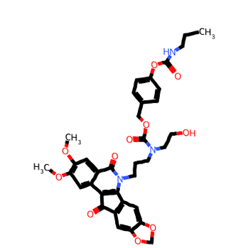 CCCNC(=O)Oc1ccc(COC(=O)N(CCO)CCCn2c3c(c4cc(OC)c(OC)cc4c2=O)C(=O)c2cc4c(cc2-3)OCO4)cc1